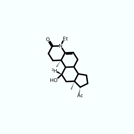 [2H][C@]1(O)C[C@@]2(C)C(CC[C@@H]2C(C)=O)C2CC=C3N(CC)C(=O)CC[C@]3(C)C21